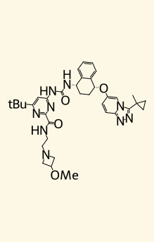 COC1CN(CCNC(=O)c2nc(NC(=O)N[C@H]3CC[C@@H](Oc4ccc5nnc(C6(C)CC6)n5c4)c4ccccc43)cc(C(C)(C)C)n2)C1